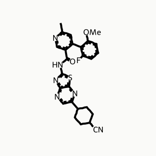 COc1cccc(F)c1-c1cc(C)ncc1C(=O)Nc1nc2ncc(C3CCC(C#N)CC3)nc2s1